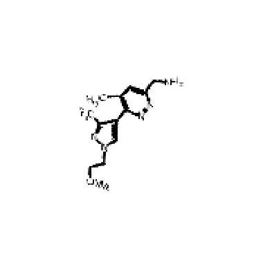 COCCn1cc(-c2nnc(CN)cc2C)c(C(F)(F)F)n1